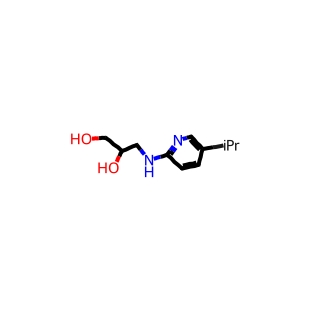 CC(C)c1ccc(NCC(O)CO)nc1